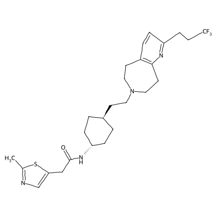 Cc1ncc(CC(=O)N[C@H]2CC[C@H](CCN3CCc4ccc(CCC(F)(F)F)nc4CC3)CC2)s1